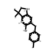 Cc1ccc(Cc2cc3c(nc2Br)C(C)(C)CN3)cc1